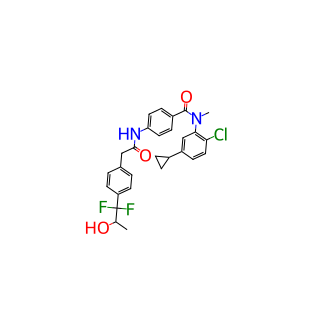 CC(O)C(F)(F)c1ccc(CC(=O)Nc2ccc(C(=O)N(C)c3cc(C4CC4)ccc3Cl)cc2)cc1